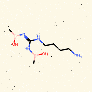 CB(O)/N=C(/NCCCCN)NB(C)O